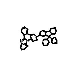 c1ccc(C2(c3ccccc3)c3ccccc3-c3ccc(-c4ccc5c(c4)c4ccccc4c4nc6ccccc6n54)cc32)cc1